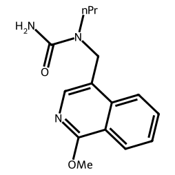 CCCN(Cc1cnc(OC)c2ccccc12)C(N)=O